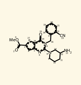 COC(=O)c1cc2nc(N3CCCC(N)C3)n(Cc3ccccc3C#N)c(=O)c2s1